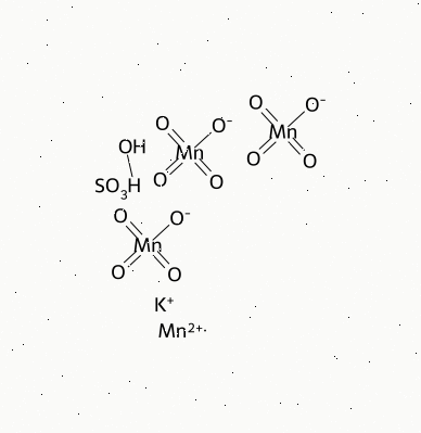 O=S(=O)(O)O.[K+].[Mn+2].[O]=[Mn](=[O])(=[O])[O-].[O]=[Mn](=[O])(=[O])[O-].[O]=[Mn](=[O])(=[O])[O-]